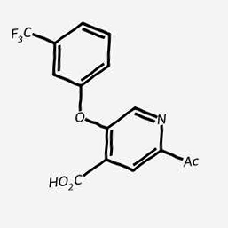 CC(=O)c1cc(C(=O)O)c(Oc2cccc(C(F)(F)F)c2)cn1